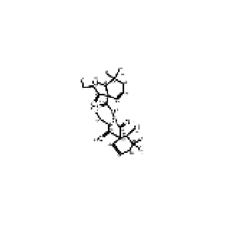 CCCC(=O)C1(C(=O)OOC(=O)C2(C(=O)CCC)C=CCC(C)(Cl)C2Cl)C=CCC(C)(Cl)C1Cl